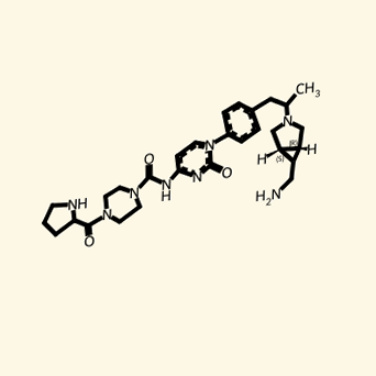 CC(Cc1ccc(-n2ccc(NC(=O)N3CCN(C(=O)C4CCCN4)CC3)nc2=O)cc1)N1C[C@@H]2C(CN)[C@@H]2C1